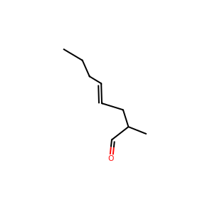 CCCC=CCC(C)C=O